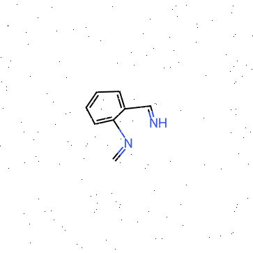 C=Nc1ccccc1C=N